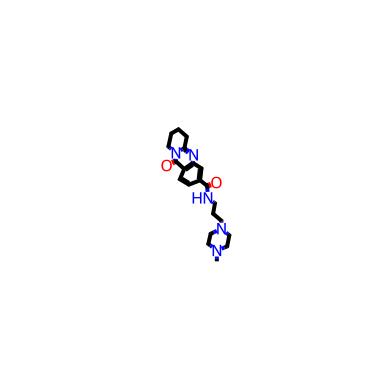 CN1CCN(CCCNC(=O)c2ccc3c(=O)n4c(nc3c2)CCCC4)CC1